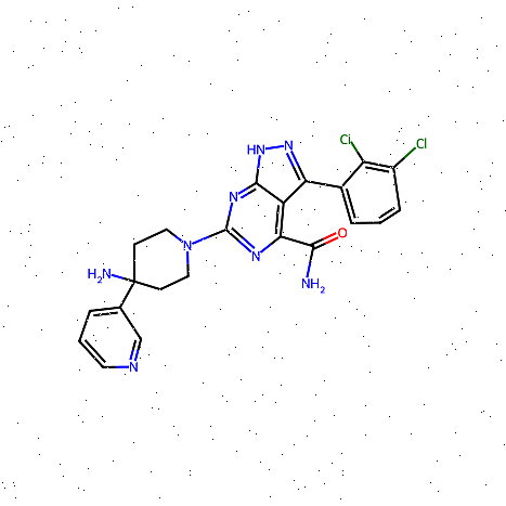 NC(=O)c1nc(N2CCC(N)(c3cccnc3)CC2)nc2[nH]nc(-c3cccc(Cl)c3Cl)c12